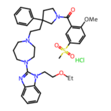 CCOCCn1c(N2CCCN(CCC3(c4ccccc4)CCN(C(=O)c4cc(S(C)(=O)=O)ccc4OC)C3)CC2)nc2ccccc21.Cl